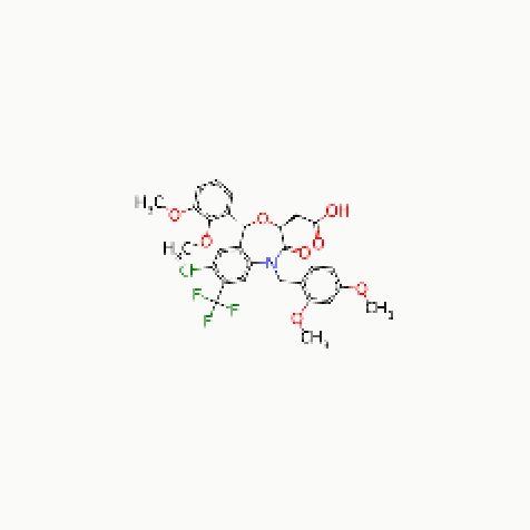 COc1ccc(CN2C(=O)[C@H](CC(=O)O)O[C@@H](c3cccc(OC)c3OC)c3cc(Cl)c(C(F)(F)F)cc32)c(OC)c1